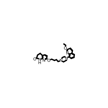 CCOc1ccc2cccc(N3CCN(CCCCOc4ccc5c(n4)NC(=O)CC5)CC3)c2n1